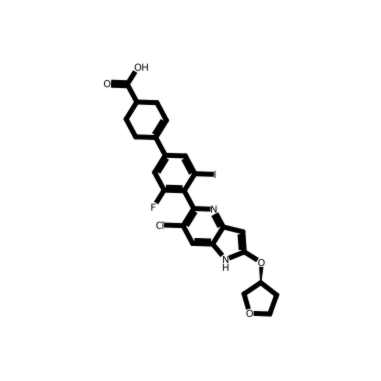 O=C(O)C1CC=C(c2cc(F)c(-c3nc4cc(O[C@H]5CCOC5)[nH]c4cc3Cl)c(I)c2)CC1